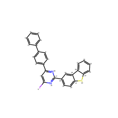 Ic1cc(-c2ccc(-c3ccccc3)cc2)nc(-c2ccc3sc4ccccc4c3c2)n1